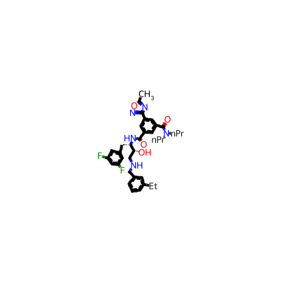 CCCN(CCC)C(=O)c1cc(C(=O)N[C@@H](Cc2cc(F)cc(F)c2)[C@H](O)CNCc2cccc(CC)c2)cc(-c2noc(C)n2)c1